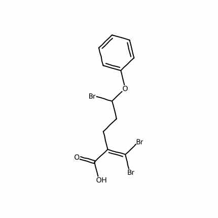 O=C(O)C(CCC(Br)Oc1ccccc1)=C(Br)Br